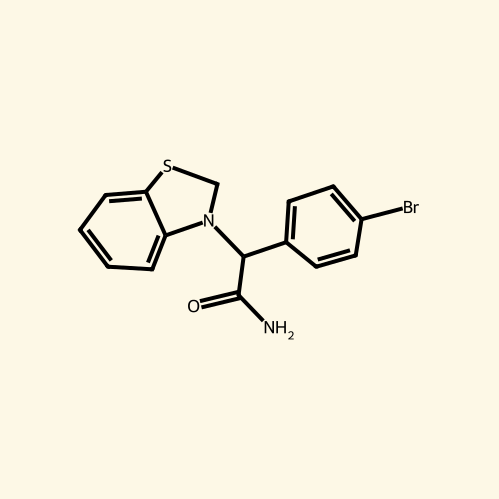 NC(=O)C(c1ccc(Br)cc1)N1CSc2ccccc21